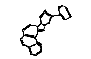 C1=CC(c2ccccc2)C=C2C=c3c(ccc4ccc5ccccc5c34)=C12